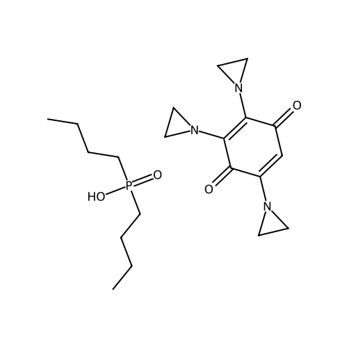 CCCCP(=O)(O)CCCC.O=C1C=C(N2CC2)C(=O)C(N2CC2)=C1N1CC1